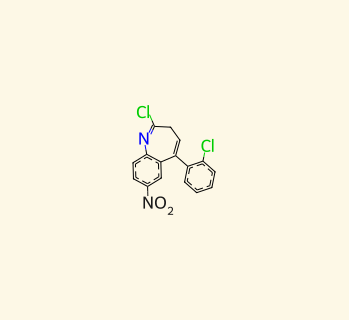 O=[N+]([O-])c1ccc2c(c1)C(c1ccccc1Cl)=CCC(Cl)=N2